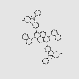 CC1CCC2(C)C(C1)c1cc(-c3cc(-c4cccc5ccccc45)c4ccc5c(-c6ccc7c(c6)C6CC(C)CCC6(C)N7c6ccccc6)cc(-c6cccc7ccccc67)c6ccc3c4c56)ccc1N2c1ccccc1